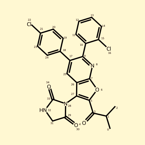 CC(C)C(=O)c1oc2nc(-c3ccccc3Cl)c(-c3ccc(Cl)cc3)cc2c1N1C(=O)CNC1=O